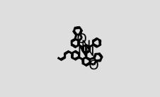 C/C=C\C=C/c1ccc(-c2ccc3oc4ccccc4c3c2-c2nc(-c3ccccc3)nc(-c3cccc4c3oc3ccccc34)n2)cc1